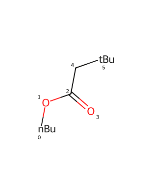 CCCCOC(=O)CC(C)(C)C